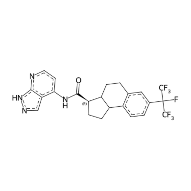 O=C(Nc1ccnc2[nH]ncc12)[C@@H]1CCC2c3ccc(C(F)(C(F)(F)F)C(F)(F)F)cc3CCC21